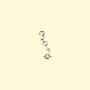 Cc1ccc(F)cc1OC1CN(c2cnc(C(=O)Nc3ccccn3)cn2)C1